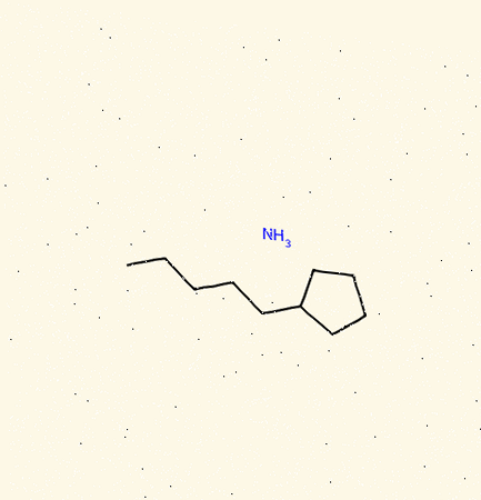 CCCCCC1CCCC1.N